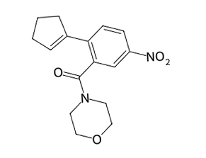 O=C(c1cc([N+](=O)[O-])ccc1C1=CCCC1)N1CCOCC1